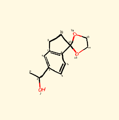 CC(O)c1ccc2c(c1)CCC21OCCO1